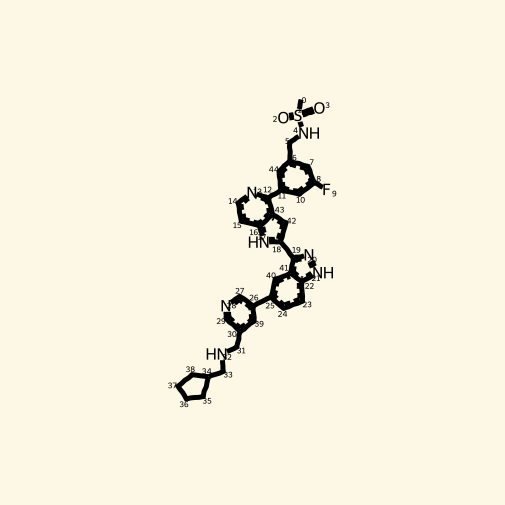 CS(=O)(=O)NCc1cc(F)cc(-c2nccc3[nH]c(-c4n[nH]c5ccc(-c6cncc(CNCC7CCCC7)c6)cc45)cc23)c1